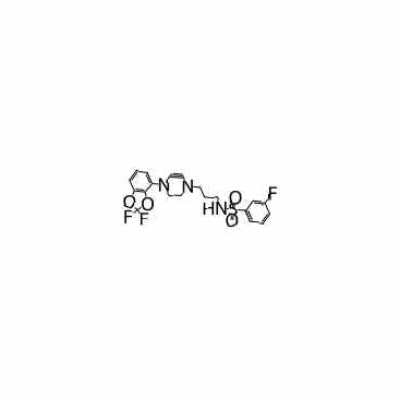 O=S(=O)(NCCCN1C#CN(c2cccc3c2OC(F)(F)O3)CC1)c1cccc(F)c1